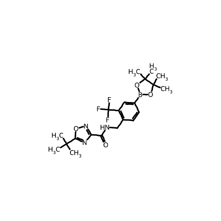 CC(C)(C)c1nc(C(=O)NCc2ccc(B3OC(C)(C)C(C)(C)O3)cc2C(F)(F)F)no1